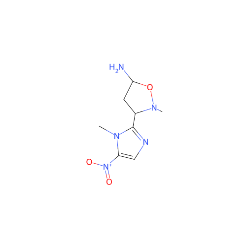 CN1OC(N)CC1c1ncc([N+](=O)[O-])n1C